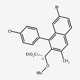 CCOC(=O)[C@@H](OC(C)(C)C)c1c(C)cc2ccc(Br)cc2c1-c1ccc(Cl)cc1